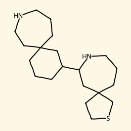 C1CNCCC2(C1)CCCC(C1CC3(CCCN1)CCSC3)C2